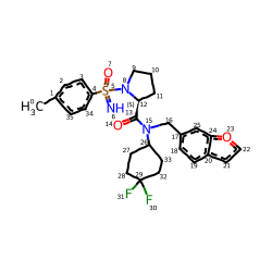 Cc1ccc(S(=N)(=O)N2CCC[C@H]2C(=O)N(Cc2ccc3ccoc3c2)C2CCC(F)(F)CC2)cc1